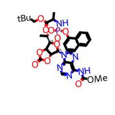 COC(=O)Nc1ncnc2c1ncn2[C@@H]1O[C@H](C(C)OP(=O)(NC(C)C(=O)OCC(C)(C)C)Oc2cccc3ccccc23)C2OC(=O)OC21